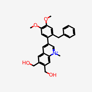 COc1cc(Cc2ccccc2)c(-c2cc3cc(CO)c(CO)cc3[n+](C)c2)cc1OC